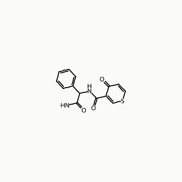 [NH]C(=O)C(NC(=O)c1csccc1=O)c1ccccc1